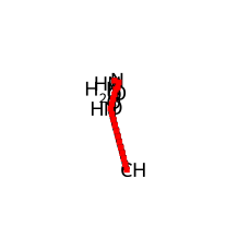 C#CC#CC#CC#CC#CC#CC#CC#CC#CC#CC#CNC(=O)COCCOC(=O)C(N)Cc1cnc[nH]1